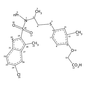 CCCN(C(C)CSc1ccc(OCC(=O)O)c(C)c1)S(=O)(=O)c1sc2ccc(Cl)cc2c1C